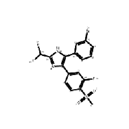 CS(=O)(=O)c1ccc(-c2nc(C(F)F)[nH]c2-c2cccc(Br)c2)cc1F